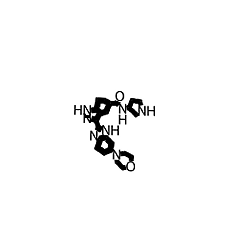 O=C(NC1CCNC1)c1ccc2[nH]nc(-c3nc4ccc(N5CCOCC5)cc4[nH]3)c2c1